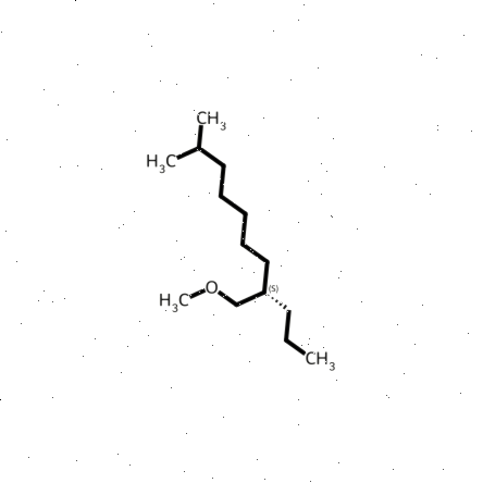 CCC[C@@H](CCCCCC(C)C)COC